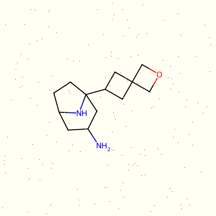 NC1CC2CCC(C3CC4(COC4)C3)(C1)N2